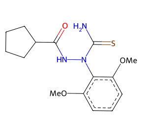 COc1cccc(OC)c1N(NC(=O)C1CCCC1)C(N)=S